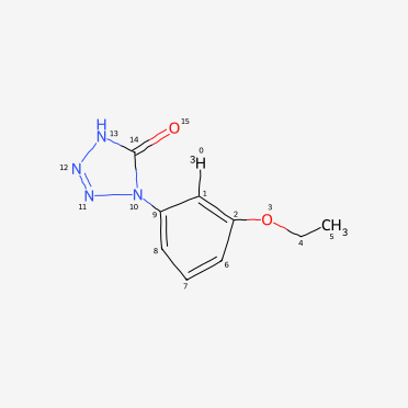 [3H]c1c(OCC)cccc1-n1nn[nH]c1=O